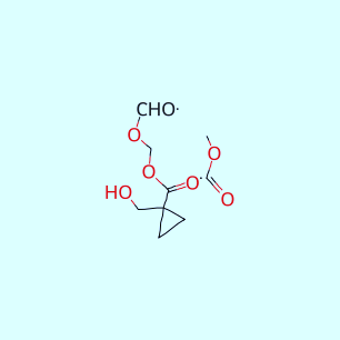 CO[C]=O.O=[C]OCOC(=O)C1(CO)CC1